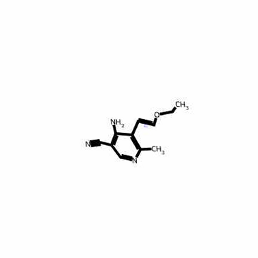 CCO/C=C/c1c(C)ncc(C#N)c1N